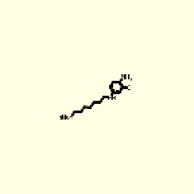 CCCCCCCCCCCCCCCCNc1ccc(N)c(O)c1